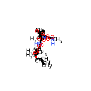 CNC(=O)CCC(=O)O[C@@H]1C[C@@H](COC(c2ccccc2)(c2ccc(OC)cc2)c2ccc(OC)cc2)N(C(=O)CCCCCNC(=O)OCCOc2c(C)c(C)c3c(c2C)CC[C@@](C)(CCC[C@H](C)CCC[C@H](C)CCCC(C)C)O3)C1